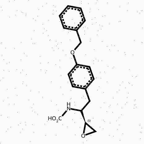 O=C(O)NC(Cc1ccc(OCc2ccccc2)cc1)[C@H]1CO1